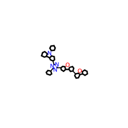 c1ccc(-c2nc(-c3ccc4c(c3)oc3ccc(-c5cccc6c5oc5ccccc56)cc34)nc(-c3ccc4c(c3)c3ccccc3n4-c3ccccc3)n2)cc1